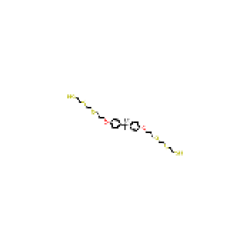 CCC(C)(c1ccc(OCCCSCCSCCS)cc1)c1ccc(OCCCSCCSCCS)cc1